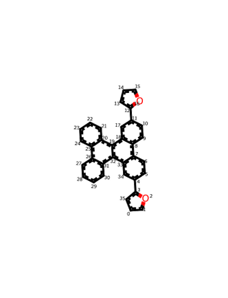 c1coc(-c2ccc3c4ccc(-c5ccco5)cc4c4c5ccccc5c5ccccc5c4c3c2)c1